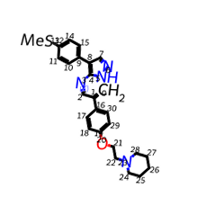 C=C(/C=N\c1[nH]ncc1-c1ccc(SC)cc1)c1ccc(OCCN2CCCCC2)cc1